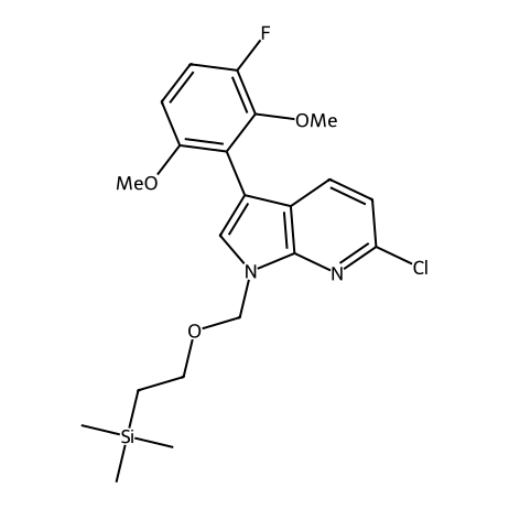 COc1ccc(F)c(OC)c1-c1cn(COCC[Si](C)(C)C)c2nc(Cl)ccc12